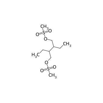 CCC(COS(C)(=O)=O)C(CC)COS(C)(=O)=O